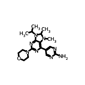 CC(C)N1c2nc(N3CCOCC3)nc(-c3cnc(N)nc3)c2N(C)C1C